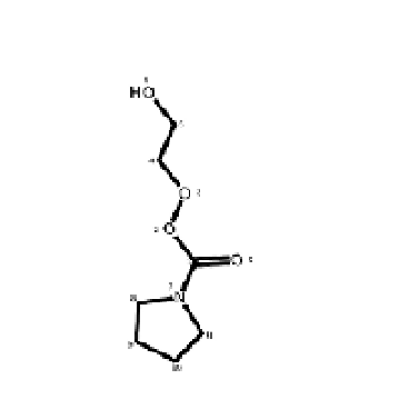 O=C(OOCCO)N1CCCC1